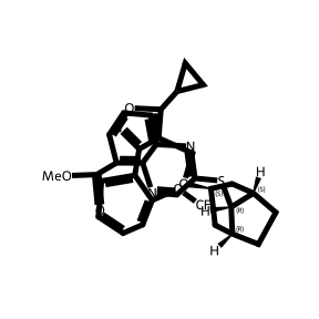 COC(=O)c1cccc2nc(S[C@H]3[C@@H]4CC[C@H]3C[C@H](OCc3c(-c5ccccc5OC(F)(F)F)noc3C3CC3)C4)cnc12